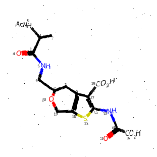 CC(=O)NC(C)C(=O)NCC1Cc2c(sc(NC(=O)C(=O)O)c2C(=O)O)CO1